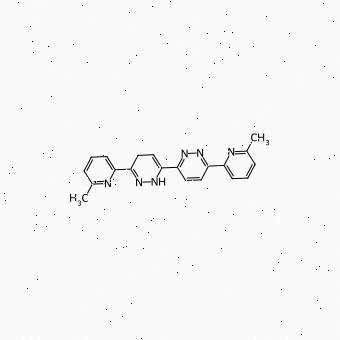 Cc1cccc(C2=NNC(c3ccc(-c4cccc(C)n4)nn3)=CC2)n1